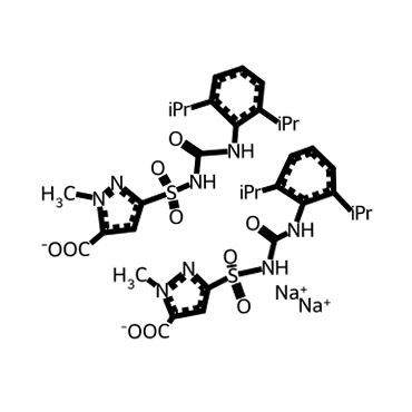 CC(C)c1cccc(C(C)C)c1NC(=O)NS(=O)(=O)c1cc(C(=O)[O-])n(C)n1.CC(C)c1cccc(C(C)C)c1NC(=O)NS(=O)(=O)c1cc(C(=O)[O-])n(C)n1.[Na+].[Na+]